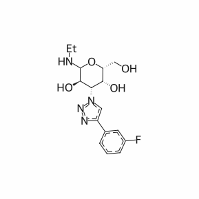 CCNC1O[C@H](CO)[C@H](O)[C@H](n2cc(-c3cccc(F)c3)nn2)[C@H]1O